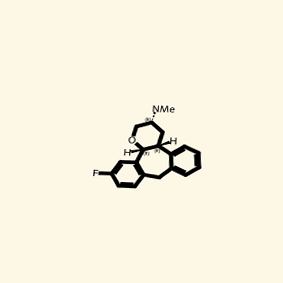 CN[C@H]1CO[C@H]2c3cc(F)ccc3Cc3ccccc3[C@H]2C1